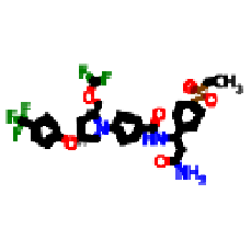 CCS(=O)(=O)c1ccc(C(CC(N)=O)NC(=O)c2ccc(N3C[C@@H](Oc4ccc(C(F)(F)F)cc4)C[C@H]3COC(F)F)cc2)cc1